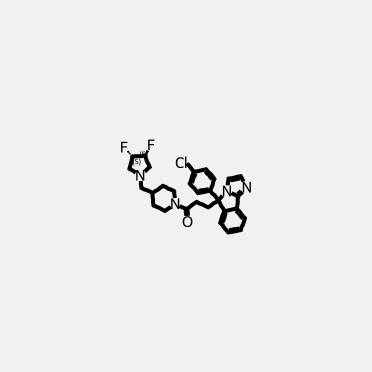 O=C(CCC1(c2ccc(Cl)cc2)c2ccccc2-c2nccn21)N1CCC(CN2C[C@H](F)[C@@H](F)C2)CC1